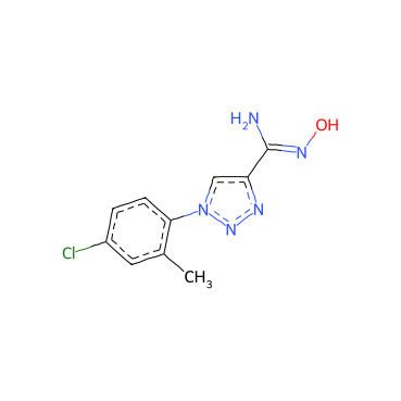 Cc1cc(Cl)ccc1-n1cc(/C(N)=N/O)nn1